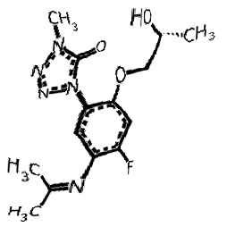 CC(C)=Nc1cc(-n2nnn(C)c2=O)c(OC[C@@H](C)O)cc1F